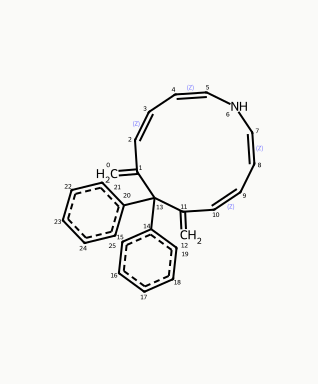 C=C1/C=C\C=C/N/C=C\C=C/C(=C)C1(c1ccccc1)c1ccccc1